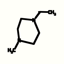 C[CH]N1CCN(C)CC1